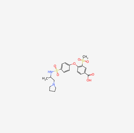 CC(CN1CCCC1)NS(=O)(=O)c1ccc(Oc2ccc(C(=O)O)cc2S(C)(=O)=O)cc1